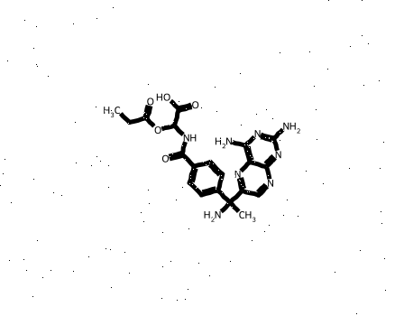 CCC(=O)OC(NC(=O)c1ccc(C(C)(N)c2cnc3nc(N)nc(N)c3n2)cc1)C(=O)O